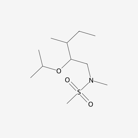 CCC(C)C(CN(C)S(C)(=O)=O)OC(C)C